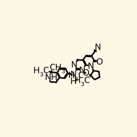 COC1(C)CCCC1n1c(=O)c(C#N)cc2cnc(Nc3ccc4c(c3)CCNC4(C)C)nc21